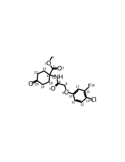 COC(=O)C1(NC(=O)COc2ccc(Cl)c(F)c2)CCC(=O)CC1